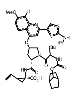 C=CC1C[C@]1(NC(=O)[C@@H]1C[C@@H](Oc2cc(-c3csc(NC(C)C)n3)nc3c(Cl)c(OC)ccc23)CN1C(=O)C(NC(=O)OC1C2CCC1CC2)C(C)(C)C)C(=O)O